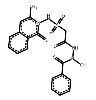 Cc1cc2ccccc2c(=S)n1NS(=O)(=O)CC(=O)NN(C)C(=S)c1ccccc1